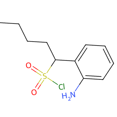 CCCCC(c1ccccc1N)S(=O)(=O)Cl